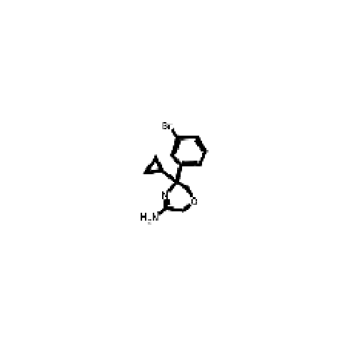 NC1=NC(c2cccc(Br)c2)(C2CC2)COC1